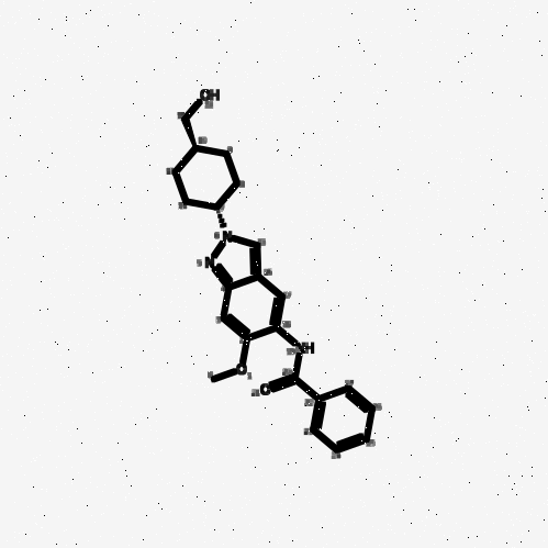 COc1cc2nn([C@H]3CC[C@H](CO)CC3)cc2cc1NC(=O)c1ccccc1